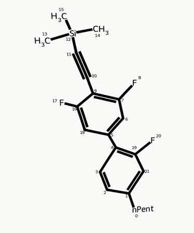 CCCCCc1ccc(-c2cc(F)c(C#C[Si](C)(C)C)c(F)c2)c(F)c1